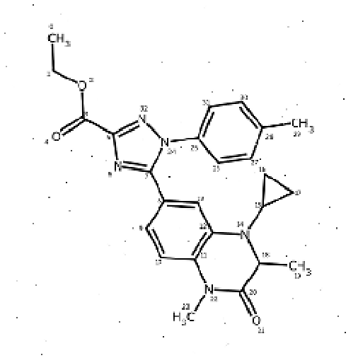 CCOC(=O)c1nc(-c2ccc3c(c2)N(C2CC2)C(C)C(=O)N3C)n(-c2ccc(C)cc2)n1